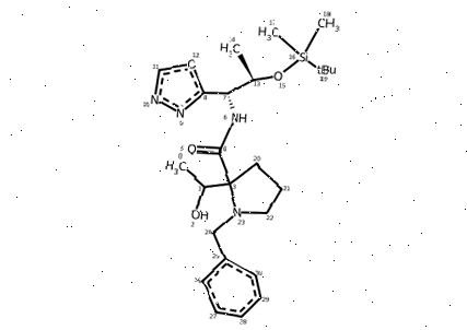 CC(O)C1(C(=O)N[C@H](c2nnco2)[C@@H](C)O[Si](C)(C)C(C)(C)C)CCCN1Cc1ccccc1